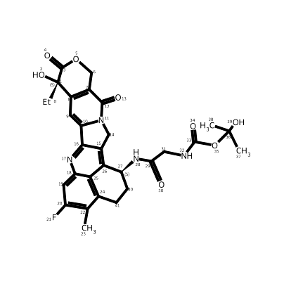 CC[C@@]1(O)C(=O)OCc2c1cc1n(c2=O)Cc2c-1nc1cc(F)c(C)c3c1c2[C@@H](NC(=O)CNC(=O)OC(C)(C)O)CC3